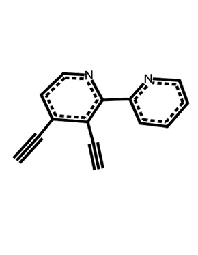 C#Cc1ccnc(-c2ccccn2)c1C#C